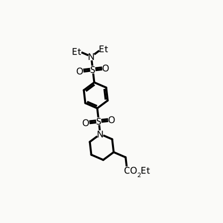 CCOC(=O)CC1CCCN(S(=O)(=O)c2ccc(S(=O)(=O)N(CC)CC)cc2)C1